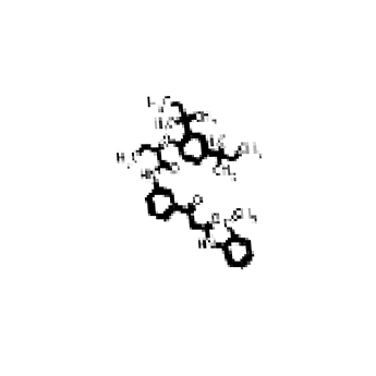 CCC(Oc1ccc(C(C)(C)CC)cc1C(C)(C)CC)C(=O)Nc1cccc(C(=O)CC(=O)Nc2ccccc2OC)c1